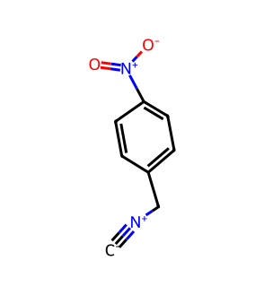 [C-]#[N+]Cc1ccc([N+](=O)[O-])cc1